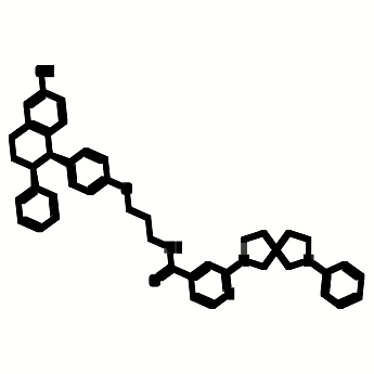 O=C(NCCCOc1ccc([C@@H]2c3ccc(O)cc3CC[C@@H]2c2ccccc2)cc1)c1ccnc(N2CCC3(CCN(c4ccccc4)C3)C2)c1